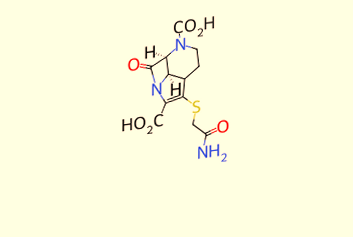 NC(=O)CSC1=C(C(=O)O)N2C(=O)[C@@H]3[C@H]2C1CCN3C(=O)O